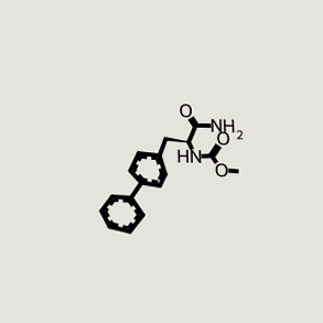 COC(=O)N[C@@H](Cc1ccc(-c2ccccc2)cc1)C(N)=O